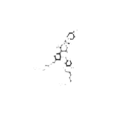 COCCCC1CNc2cc(CO[C@H]3CN(S(=O)(=O)c4ccc(C)cc4)C[C@@H](CBr)[C@@H]3c3ccc(COCCOC)cc3)ccc2O1